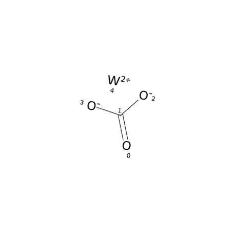 O=C([O-])[O-].[W+2]